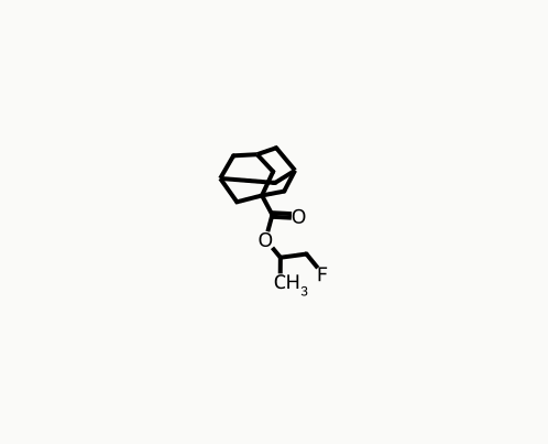 CC(CF)OC(=O)C12CC3CC(CC(C3)C1)C2